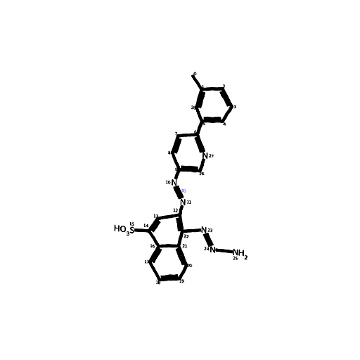 Cc1cccc(-c2ccc(/N=N/c3cc(S(=O)(=O)O)c4ccccc4c3N=NN)cn2)c1